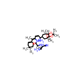 C/C(C1=CCC(C)(C)CC1)=C(\C=C/C(N)C1C[C@@]2(C)O[C@@](C)(C1)[C@@H]1OC(C)(C)O[C@@H]12)NC(=O)C(C)N/C(C#N)=C\N